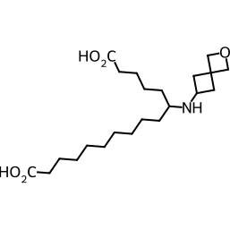 O=C(O)CCCCCCCCCC(CCCCC(=O)O)NC1CC2(COC2)C1